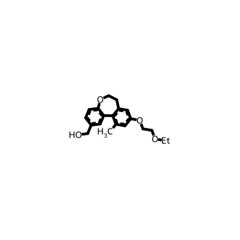 CCOCCOc1cc(C)c2c(c1)CCOc1ccc(CO)cc1-2